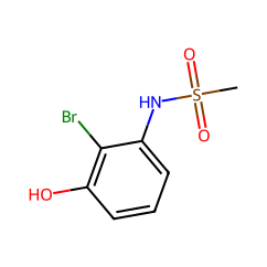 CS(=O)(=O)Nc1cccc(O)c1Br